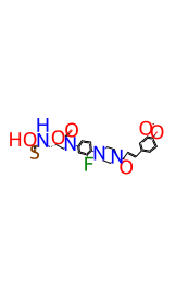 O=C(C=Cc1ccc2c(c1)OCO2)N1CCN(c2ccc(N3C[C@H](CNC(O)=S)OC3=O)cc2F)CC1